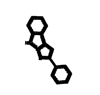 c1ccc(-c2cc3c4ccccc4[nH]n3n2)cc1